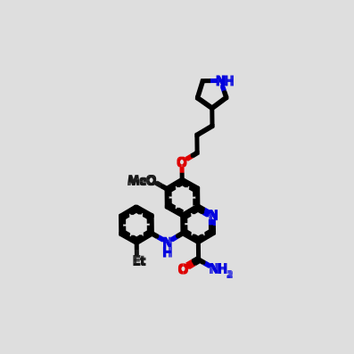 CCc1ccccc1Nc1c(C(N)=O)cnc2cc(OCCCC3CCNC3)c(OC)cc12